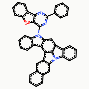 c1ccc(-c2nc(-n3c4ccccc4c4c5c6cc7ccccc7cc6n6c7ccccc7c(cc43)c56)c3oc4ccccc4c3n2)cc1